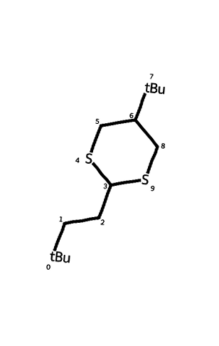 CC(C)(C)CCC1SCC(C(C)(C)C)CS1